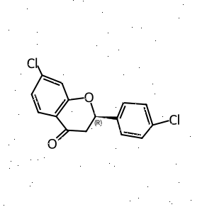 O=C1C[C@H](c2ccc(Cl)cc2)Oc2cc(Cl)ccc21